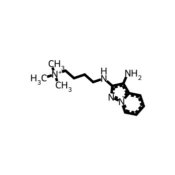 C[N+](C)(C)CCCCNc1nn2ccccc2c1N